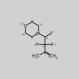 C=C(C)C(F)(F)C(F)N1CCOCC1